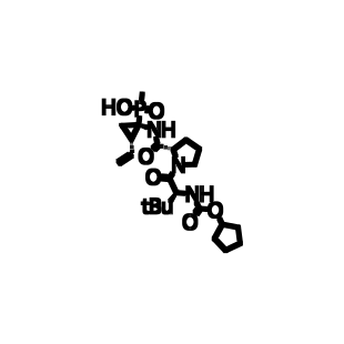 C=C[C@@H]1C[C@]1(NC(=O)[C@@H]1CCCN1C(=O)[C@@H](NC(=O)OC1CCCC1)C(C)(C)C)P(C)(=O)O